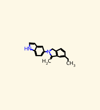 C=C1c2cc(CC)ccc2CN1c1ccc2[nH]ccc2c1